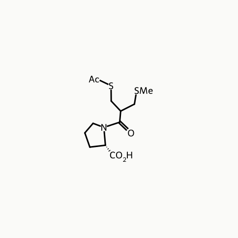 CSCC(CSC(C)=O)C(=O)N1CCC[C@H]1C(=O)O